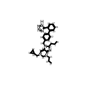 CCCC1N=C2C(=CN(CC3CC3)CN2CCC)N1Cc1ccc(-c2ccccc2-c2nnn[nH]2)cc1